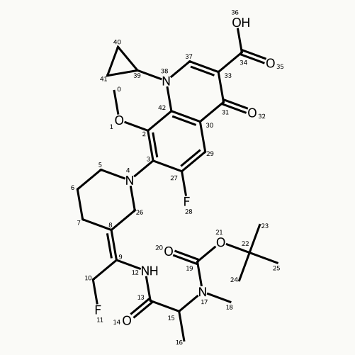 COc1c(N2CCCC(=C(CF)NC(=O)C(C)N(C)C(=O)OC(C)(C)C)C2)c(F)cc2c(=O)c(C(=O)O)cn(C3CC3)c12